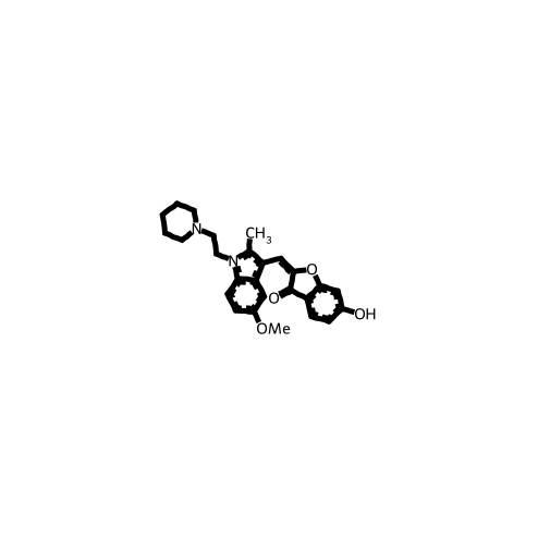 COc1ccc2c(c1)c(C=C1Oc3cc(O)ccc3C1=O)c(C)n2CCN1CCCCC1